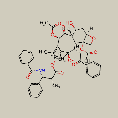 CC(=O)O[C@H]1C(=O)[C@@]2(C)[C@H]([C@H](CC(=O)c3ccccc3)[C@]3(O)C[C@H](OC(=O)[C@H](C)[C@@H](NC(=O)c4ccccc4)c4ccccc4)C(C)=C1C3(C)C)[C@]1(OC(C)=O)CO[C@@H]1C[C@@H]2O